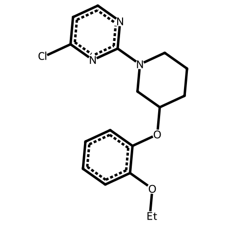 CCOc1ccccc1OC1CCCN(c2nccc(Cl)n2)C1